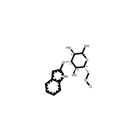 OC1O[C@H](COCl)[C@@H](O)[C@H](Oc2cc3ccccc3[nH]2)[C@H]1O